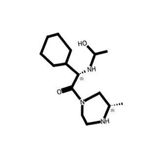 CC(O)N[C@H](C(=O)N1CCN[C@@H](C)C1)C1CCCCC1